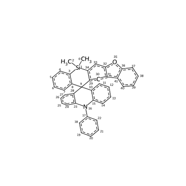 C[Si]1(C)c2ccccc2C2(c3ccccc3N(c3ccccc3)c3ccccc32)c2cc3c(cc21)oc1ccccc13